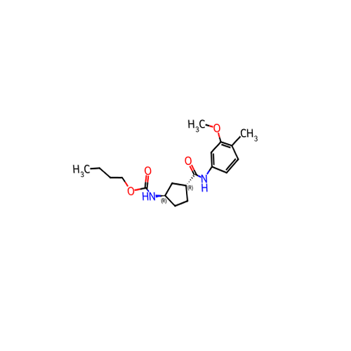 CCCCOC(=O)N[C@@H]1CC[C@@H](C(=O)Nc2ccc(C)c(OC)c2)C1